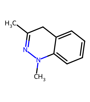 CC1=NN(C)c2ccccc2C1